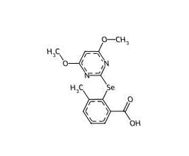 COc1cc(OC)nc([Se]c2c(C)cccc2C(=O)O)n1